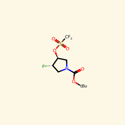 CC(C)(C)OC(=O)N1C[C@H](OS(=O)(=O)C(F)(F)F)[C@@H](F)C1